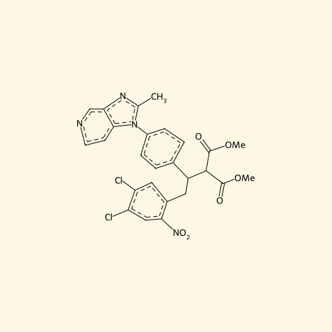 COC(=O)C(C(=O)OC)C(Cc1cc(Cl)c(Cl)cc1[N+](=O)[O-])c1ccc(-n2c(C)nc3cnccc32)cc1